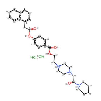 Cl.Cl.O=C(Cc1cccc2ccccc12)Oc1ccc(C(=O)OCCN2CCN(CC(=O)N3CCCCC3)CC2)cc1